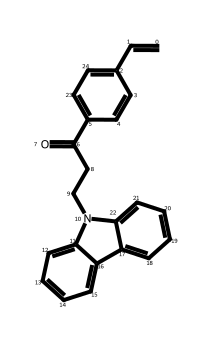 C=Cc1ccc(C(=O)CCn2c3ccccc3c3ccccc32)cc1